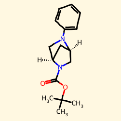 CC(C)(C)OC(=O)N1C[C@H]2C[C@@H]1CN2c1ccccc1